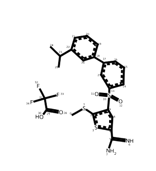 CSc1sc(C(=N)N)cc1S(=O)(=O)c1cccc(-c2cccc(C(C)C)c2)c1.O=C(O)C(F)(F)F